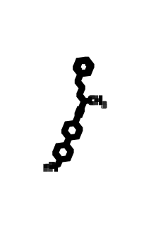 CCCC1CCC(C2CCC(C#CC(C)CCCc3ccccc3)CC2)CC1